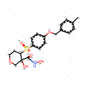 Cc1ccc(COc2ccc(S(=O)(=O)C3CCOCC3(O)C(=O)NO)cc2)cc1